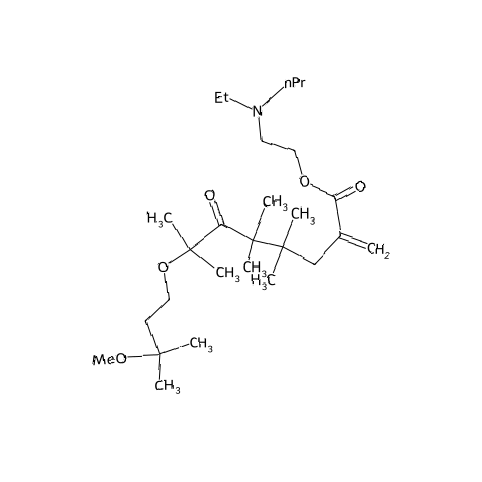 C=C(CC(C)(C)C(C)(C)C(=O)C(C)(C)OCCC(C)(C)OC)C(=O)OCCN(CC)CCC